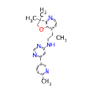 Cc1ccc(-c2cc(NC[C@@H](C)c3ccnc4c3OCC4(C)C)ncn2)cn1